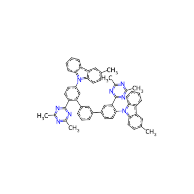 Cc1ccc2c(c1)c1ccccc1n2-c1ccc(-c2nc(C)nc(C)n2)c(-c2cccc(-c3ccc(-n4c5ccccc5c5cc(C)ccc54)c(-c4nc(C)nc(C)n4)c3)c2)c1